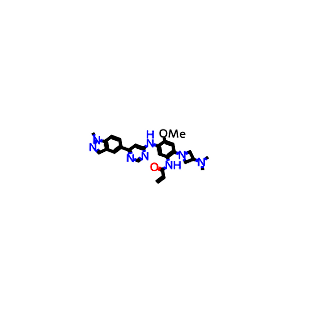 C=CC(=O)Nc1cc(Nc2cc(-c3ccc4c(cnn4C)c3)ncn2)c(OC)cc1N1CC(N(C)C)C1